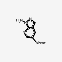 CCCCCc1cnc2c(cnn2N)c1